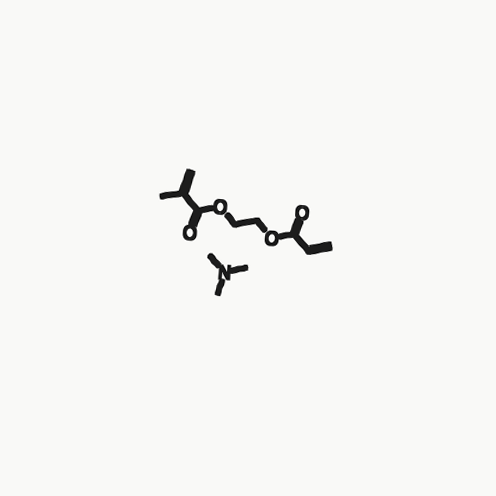 C=CC(=O)OCCOC(=O)C(=C)C.CN(C)C